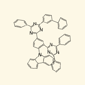 c1ccc(-c2cccc(-c3nc(-c4ccccc4)nc(-c4ccc(-n5c6ccccc6c6ccccc65)c(-c5nc(-c6ccccc6)nc(-c6ccccc6)n5)c4)n3)c2)cc1